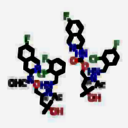 CC(=O)N(NCc1ccc(F)cc1Cl)[C@H](COC(=O)Nc1cc2ccc(F)cc2cn1)CC(C)(C)O.CC(=O)N(NCc1cccc(F)c1Cl)[C@H](CON(C=O)c1cc2ccc(F)cc2cn1)CC(C)(C)O